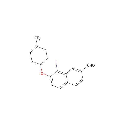 O=Cc1ccc2ccc(OC3CCC(C(F)(F)F)CC3)c(I)c2c1